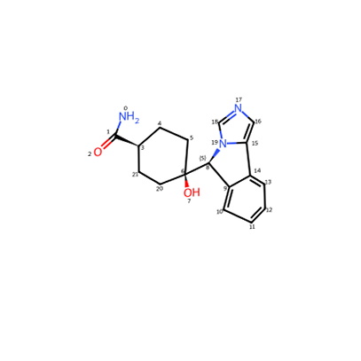 NC(=O)[C@H]1CC[C@](O)([C@@H]2c3ccccc3-c3cncn32)CC1